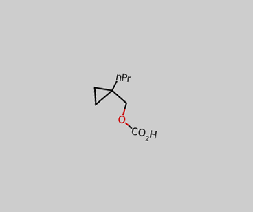 CCCC1(COC(=O)O)CC1